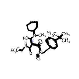 CCNC(=O)/C(C(=O)N(C=O)Cc1ccc(C(C)(C)C)cc1)=C(\O)N(C)C1CCCCC1